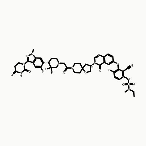 CCN(C)S(=O)(=O)Nc1ccc(F)c(Oc2ccc3ncn([C@H]4COC5(CCN(C(=O)CN6CC[C@@H](c7cc8c(cc7F)c(N7CCC(=O)NC7=O)nn8C)C(F)(F)C6)CC5)C4)c(=O)c3c2)c1C#N